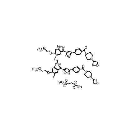 COCCOc1cc2[nH]nc(-c3cc(-c4ccc(C(=O)N5CCN(C6COC6)CC5)cc4)no3)c2cc1F.COCCOc1cc2[nH]nc(-c3cc(-c4ccc(C(=O)N5CCN(C6COC6)CC5)cc4)no3)c2cc1F.O=S(=O)(O)CCS(=O)(=O)O